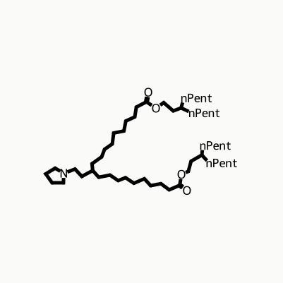 CCCCCC(CCCCC)CCOC(=O)CCCCCCCCCC(CCCCCCCCCC(=O)OCCC(CCCCC)CCCCC)CCN1CCCC1